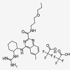 CCCOCCCNC(=O)c1nc(NC2CCCCC2NC(=N)N)c2cc(C)ccc2n1.O=C(O)C(F)(F)F.O=C(O)C(F)(F)F